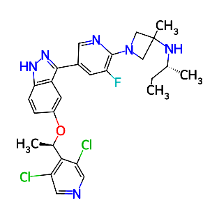 CC[C@@H](C)NC1(C)CN(c2ncc(-c3n[nH]c4ccc(O[C@H](C)c5c(Cl)cncc5Cl)cc34)cc2F)C1